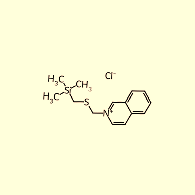 C[Si](C)(C)CSC[n+]1ccc2ccccc2c1.[Cl-]